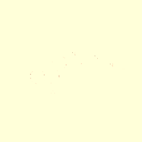 Cc1ccc2c(c1)c(=O)oc1cc(NC(=O)CN3CCN(C)CC3)ccc12